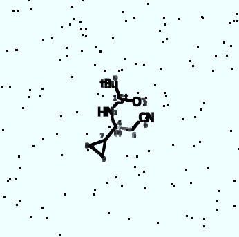 CC(C)(C)[S+]([O-])N[C@H](CC#N)C1CC1